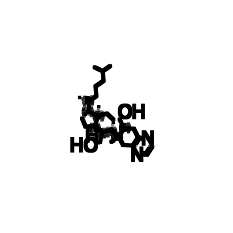 CC(C)CCC[C@@H](C)[C@H]1CC[C@H]2[C@H](CO)[C@@H]([C@@]3(C)Cc4nccnc4C[C@@H]3CO)CC[C@]12C